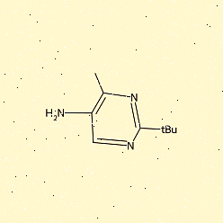 Cc1nc(C(C)(C)C)ncc1N